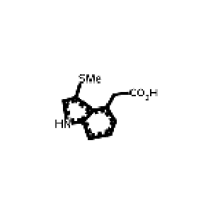 CSc1c[nH]c2cccc(C[13C](=O)O)c12